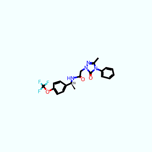 Cc1nn(CC(=O)N[C@@H](C)c2ccc(OC(F)(F)F)cc2)c(=O)n1-c1ccccc1